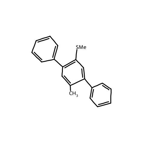 CSc1cc(-c2ccccc2)c(C)cc1-c1ccccc1